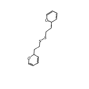 C1=COC(CCSSCCC2C=CC=CO2)C=C1